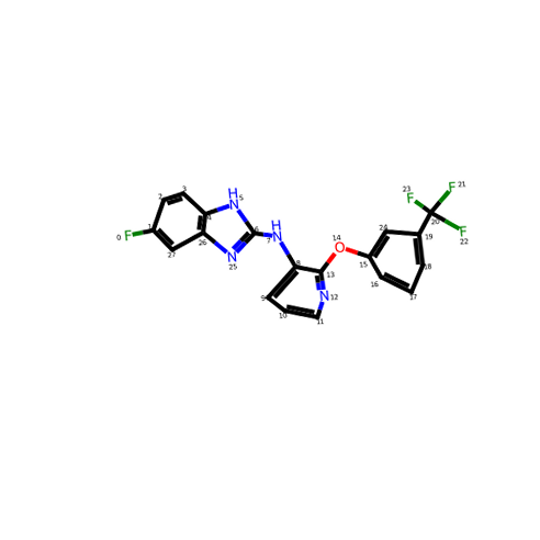 Fc1ccc2[nH]c(Nc3cccnc3Oc3cccc(C(F)(F)F)c3)nc2c1